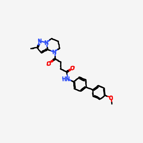 COc1ccc(-c2ccc(NC(=O)CCC(=O)N3CCCn4nc(C)cc43)cc2)cc1